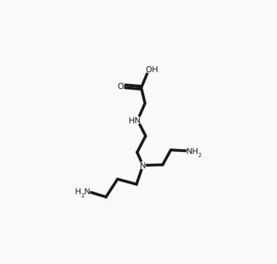 NCCCN(CCN)CCNCC(=O)O